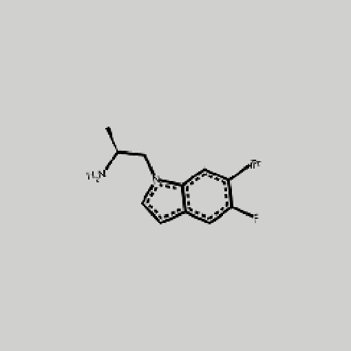 CC(C)c1cc2c(ccn2C[C@H](C)N)cc1F